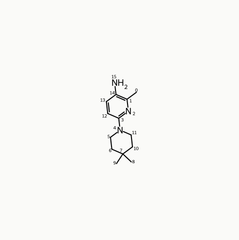 Cc1nc(N2CCC(C)(C)CC2)ccc1N